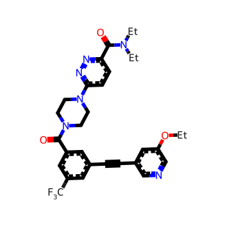 CCOc1cncc(C#Cc2cc(C(=O)N3CCN(c4ccc(C(=O)N(CC)CC)nn4)CC3)cc(C(F)(F)F)c2)c1